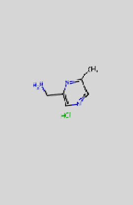 Cc1cncc(CN)n1.Cl